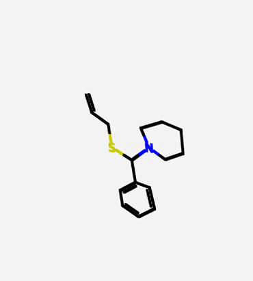 C=CCSC(c1ccccc1)N1CCCCC1